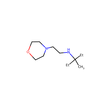 CCC(C)(CC)NCCN1CCOCC1